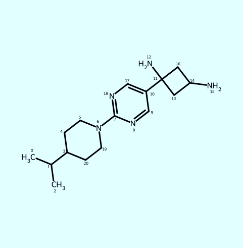 CC(C)C1CCN(c2ncc(C3(N)CC(N)C3)cn2)CC1